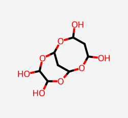 OC1CC(O)OC2CC(O1)OC(O)C(O)O2